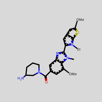 CCn1c(-c2nc3cc(C(=O)N4CCCC(N)C4)cc(OC)c3n2C)cc2cc(OC)sc21